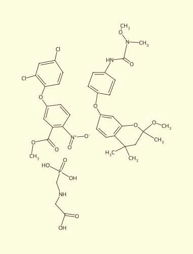 COC(=O)c1cc(Oc2ccc(Cl)cc2Cl)ccc1[N+](=O)[O-].CON(C)C(=O)Nc1ccc(Oc2ccc3c(c2)OC(C)(OC)CC3(C)C)cc1.O=C(O)CNCP(=O)(O)O